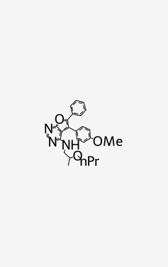 CCCOC(C)CNc1ncnc2oc(-c3ccccc3)c(-c3ccc(OC)cc3)c12